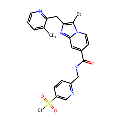 CCc1c(Cc2ncccc2C(F)(F)F)nc2cc(C(=O)NCc3ccc(S(=O)(=O)CC)cn3)ccn12